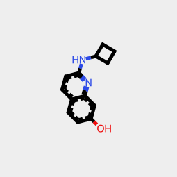 Oc1ccc2ccc(NC3CCC3)nc2c1